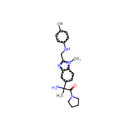 Cn1c(CNc2ccc(C#N)cc2)nc2cc(C(C)(N)C(=O)N3CCCC3)ccc21